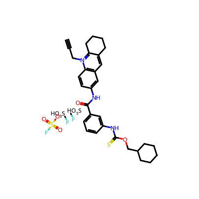 C#CC[n+]1c2c(cc3cc(NC(=O)c4cccc(NC(=S)OCC5CCCCC5)c4)ccc31)CCCC2.O=S(=O)(O)F.O=S(=O)(O)F.O=S(=O)([O-])F